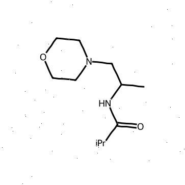 CC(CN1CCOCC1)NC(=O)C(C)C